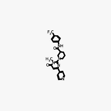 Cn1c(N2CCCC(C(=O)Nc3ccc(C(F)(F)F)cc3)C2)nc(-c2ccncc2)cc1=O